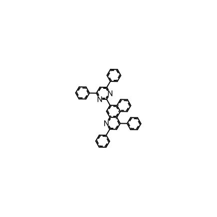 c1ccc(-c2cc(-c3ccccc3)nc(-c3cc4nc(-c5ccccc5)cc(-c5ccccc5)c4c4ccccc34)n2)cc1